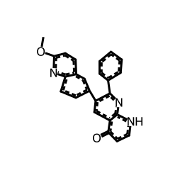 COc1ccc2cc(-c3cc4c(=O)cc[nH]c4nc3-c3ccccc3)ccc2n1